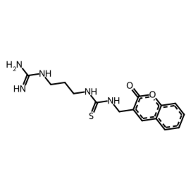 N=C(N)NCCCNC(=S)NCc1cc2ccccc2oc1=O